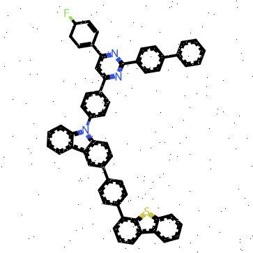 FC1C=CC(c2cc(-c3ccc(-n4c5ccccc5c5cc(-c6ccc(-c7cccc8c7sc7ccccc78)cc6)ccc54)cc3)nc(-c3ccc(-c4ccccc4)cc3)n2)=CC1